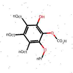 CCCCCCCCc1c(O)c(OC(=O)O)c(OCCC)c(CCCCCCCC)c1CCCCCCCC